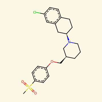 CS(=O)(=O)c1ccc(OC[C@@H]2CCCN([C@@H]3CCc4ccc(Cl)cc4C3)C2)cc1